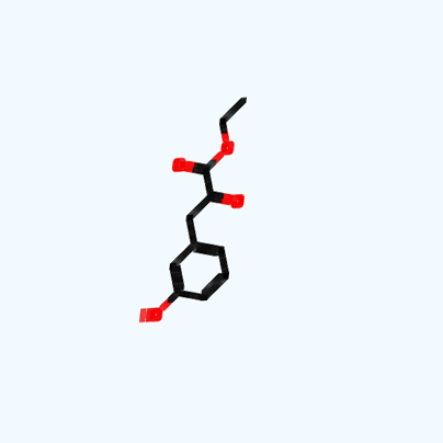 CCOC(=O)C(=O)Cc1cccc(O)c1